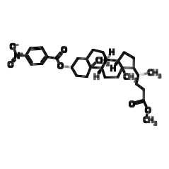 COC(=O)CC[C@@H](C)C1CC[C@H]2[C@@H]3CCC4C[C@@H](OC(=O)c5ccc([N+](=O)[O-])cc5)CCC4(C)[C@H]3CCC12C